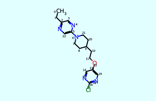 CCc1cnc(N2CCC(CCOc3cnc(Cl)nc3)CC2)cn1